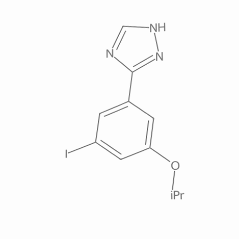 CC(C)Oc1cc(I)cc(-c2nc[nH]n2)c1